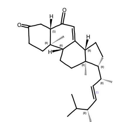 CC(C)[C@@H](C)/C=C/[C@@H](C)[C@H]1CC[C@H]2C3=CC(=O)[C@H]4CC(=O)CC[C@]4(C)[C@H]3CC[C@]12C